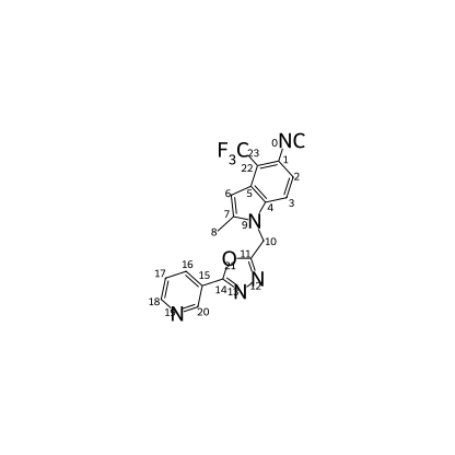 [C-]#[N+]c1ccc2c(cc(C)n2Cc2nnc(-c3cccnc3)o2)c1C(F)(F)F